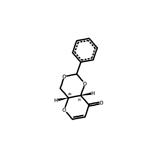 O=C1C=CO[C@@H]2COC(c3ccccc3)O[C@H]12